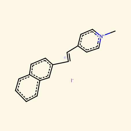 C[n+]1ccc(/C=C/c2ccc3ccccc3c2)cc1.[I-]